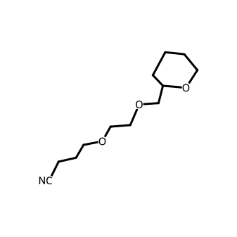 N#CCCCOCCOCC1CCCCO1